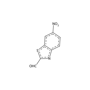 O=Cc1nc2ccc([N+](=O)[O-])cc2s1